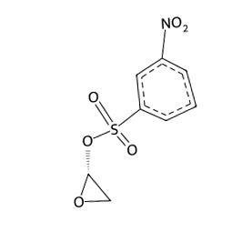 O=[N+]([O-])c1cccc(S(=O)(=O)O[C@@H]2CO2)c1